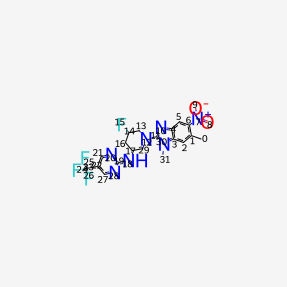 Cc1cc2c(cc1[N+](=O)[O-])nc(N1C[C@H](F)C[C@@H](Nc3ncc(C(F)(F)F)cn3)C1)n2C